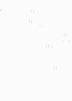 N#Cc1ccc(-c2noc(N3CCC(C(=O)NCCCN4CCC(Cc5ccccc5)CC4)CC3)n2)cc1.O=CO